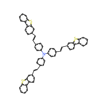 C(=C\c1ccc2c(c1)sc1ccccc12)/c1ccc(N(c2ccc(/C=C/c3ccc4c(c3)sc3ccccc34)cc2)c2ccc(/C=C/c3ccc4c(c3)sc3ccccc34)cc2)cc1